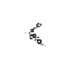 Cc1ccc(S(=O)(=O)n2ccc3c(N(C)C4CC(CSC5CCNC5)C4)ncnc32)cc1